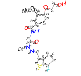 CCN(/N=C/c1csc2c(F)cccc12)C(=O)CNC(=O)c1ccc(OCCO)c(OC)c1